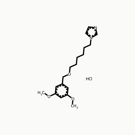 COc1cc(COCCCCCCn2ccnc2)cc(OC)c1.Cl